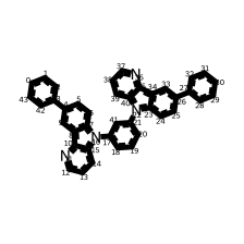 c1ccc(-c2ccc3c(c2)c2ncccc2n3-c2cccc(-n3c4ccc(-c5ccccc5)cc4c4ncccc43)c2)cc1